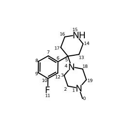 CN1CCN(C2(c3cccc(F)c3)CCNCC2)CC1